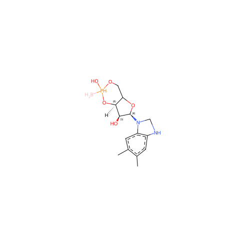 B[PH]1(O)OCC2O[C@@H](N3CNc4cc(C)c(C)cc43)[C@@H](O)[C@H]2O1